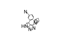 N#Cc1cccc(-c2c[nH]c3ncnc(N4CC5CC(C4)O5)c23)c1